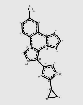 Cc1ccc2c(c1)c1ncnn1c1c(-c3noc(C4CC4)n3)ncn21